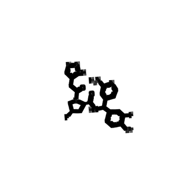 CC(C)c1ccc(C(NC(=O)[C@@H]2C[C@@H](F)CN2C(=O)Cc2cnn[nH]2)c2ccnc(N)c2)cc1F